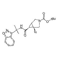 CC(C)(C)OC(=O)N1CC2[C@H](C1)[C@H]2C(=O)NC(C)(C)c1noc2ccccc12